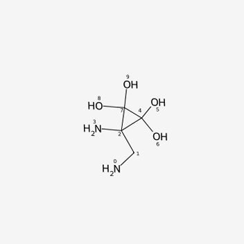 NCC1(N)C(O)(O)C1(O)O